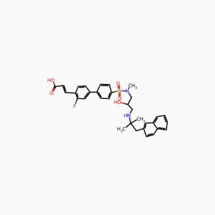 CN(CC(O)CNC(C)(C)Cc1ccc2ccccc2c1)S(=O)(=O)c1ccc(-c2ccc(C=CC(=O)O)c(F)c2)cc1